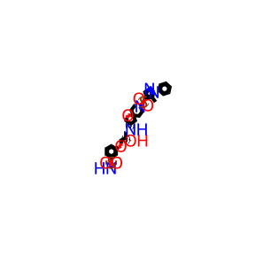 CNS(=O)(=O)c1cccc(OC[C@@H](O)CN[C@@H]2COC3(CCN(S(=O)(=O)c4cnn(-c5ccccc5)c4C)CC3)C2)c1